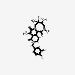 CN1CC(O)C(C)(C)Cn2c(c3c(c(O)c2=O)C(=O)N(Cc2ccc(F)c(Cl)c2)CC3)C1=O